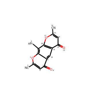 CCCc1c2oc(C#N)cc(=O)c2cc2c(=O)cc(C#N)oc12